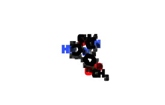 COc1ccncc1N(c1ccc(S(C)(=O)=O)cc1)C1CCNCC1